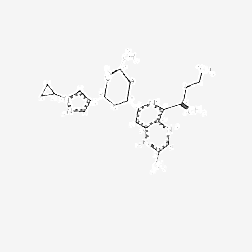 C=C(CCC)c1nc([C@H]2C[C@@H](C)O[C@@H](c3cnn(C4CC4)c3)C2)cc2nc(C)cnc12